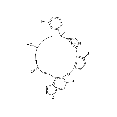 CC1(c2cccc(I)c2)CCCC(O)CNC(=O)/C=C/c2c(c(F)cc3[nH]ccc23)Oc2ccc(F)c(c2)-c2ncc1[nH]2